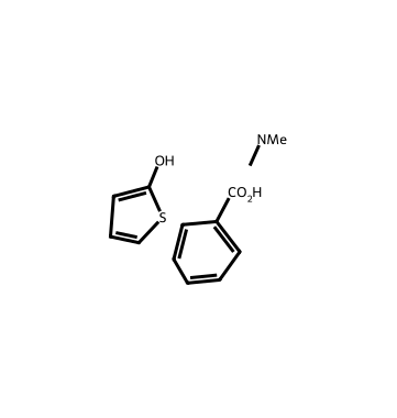 CNC.O=C(O)c1ccccc1.Oc1cccs1